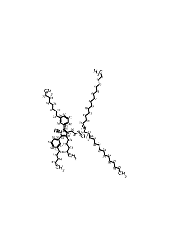 CCCCCCCCCCCCCC[CH2][Ni][CH2]CCCCCCCCCCCCCC.CCCCCCCCc1cccc(C2=C(CCCC)C(CCCCC)=C(c3cccc(CCCCC)c3)[N+]2=[N-])c1